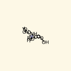 CC(C)(C)OC(=O)N1CCC(N/C(=N/C(=O)C(F)(F)F)N2CCc3cc(OCCO)ccc3C2)CC1